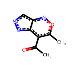 CC(=O)c1c2nncc-2noc1C